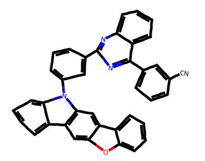 N#Cc1cccc(-c2nc(-c3cccc(-n4c5ccccc5c5cc6oc7ccccc7c6cc54)c3)nc3ccccc23)c1